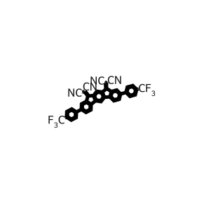 N#CC(C#N)=C1c2cc(-c3ccc(C(F)(F)F)cc3)ccc2-c2cc3c(cc21)C(=C(C#N)C#N)c1cc(-c2ccc(C(F)(F)F)cc2)ccc1-3